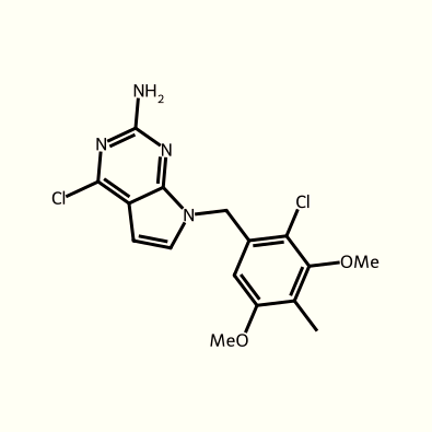 COc1cc(Cn2ccc3c(Cl)nc(N)nc32)c(Cl)c(OC)c1C